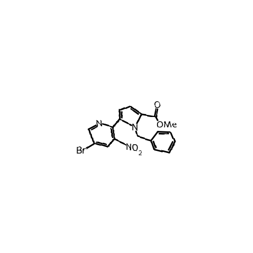 COC(=O)c1ccc(-c2ncc(Br)cc2[N+](=O)[O-])n1Cc1ccccc1